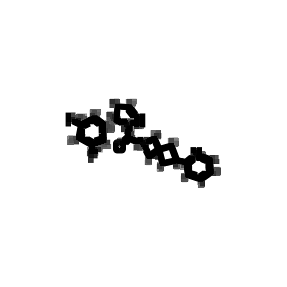 O=C(N1CC2(CC(c3ccccn3)C2)C1)N1N=CC[C@H]1c1cc(F)cc(F)c1